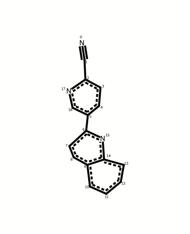 N#Cc1ccc(-c2ccc3ccccc3n2)cn1